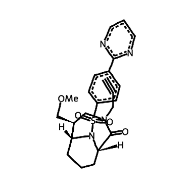 C#CCN1C[C@H](COC)[C@H]2CCC[C@@H](C1=O)N2S(=O)(=O)c1ccc(-c2ncccn2)cc1